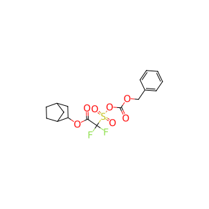 O=C(OCc1ccccc1)OS(=O)(=O)C(F)(F)C(=O)OC1CC2CCC1C2